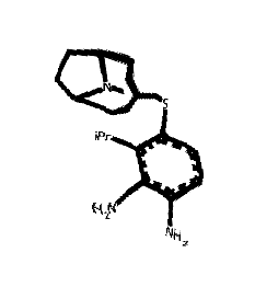 CC(C)c1c(SC2CC3CCC(C2)N3C)ccc(N)c1N